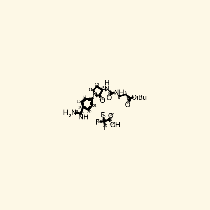 CC(C)COC(=O)CCNC(=O)N[C@H]1CCN(c2ccc(C(=N)N)cc2)C1=O.O=C(O)C(F)(F)F